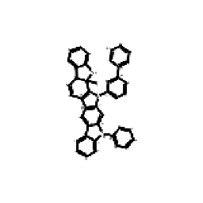 CC12Sc3ccccc3C1C=Cc1c2n(-c2cccc(-c3ccccc3)c2)c2cc3c(cc12)c1ccccc1n3-c1ccccc1